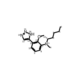 CCCCCN(C)c1cccc(-c2cnn[nH]2)c1OC